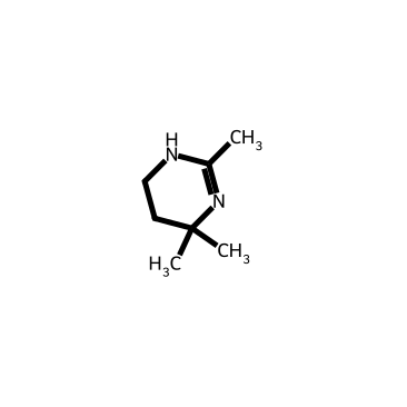 CC1=NC(C)(C)CCN1